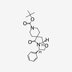 CC(C)(C)OC(=O)N1CCC2(CC1)C[C@@H]1OC[C@@H](c3ccccc3)N1C2=O